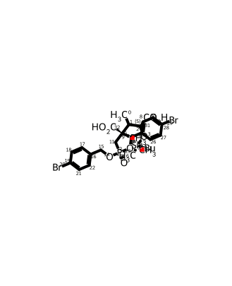 CC([C@H](O[Si](C)(C)C(C)(C)C)C(=O)O)[C@](C)(CP(=O)(OCc1ccc(Br)cc1)OCc1ccc(Br)cc1)C(=O)O